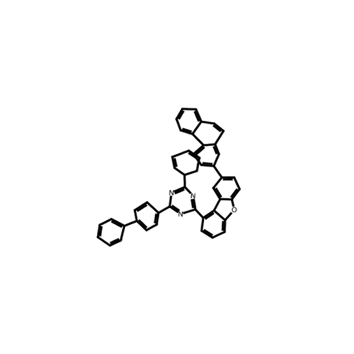 C1=CCC(c2nc(-c3ccc(-c4ccccc4)cc3)nc(-c3cccc4oc5ccc(-c6ccc7c(ccc8ccccc87)c6)cc5c34)n2)C=C1